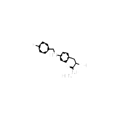 CC(Cc1ccc(NCc2ccc(F)cc2)cc1)C(=O)NN